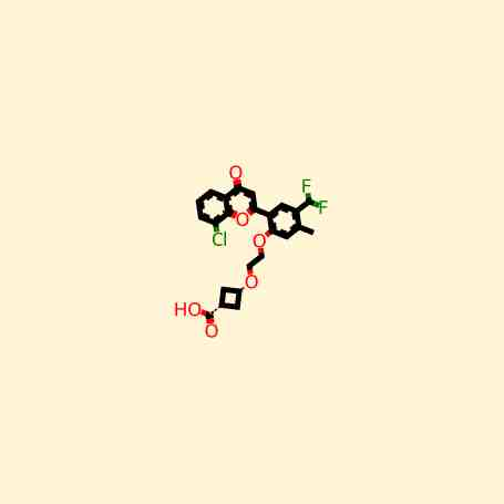 Cc1cc(OCCO[C@H]2C[C@@H](C(=O)O)C2)c(-c2cc(=O)c3cccc(Cl)c3o2)cc1C(F)F